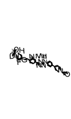 CNc1cc(-c2ncnc(Nc3ccc(C4CCN(C5COC5)CC4)cc3)n2)ccc1CO[C@H]1CCN(C(=O)[C@H](C)O)C[C@H]1F